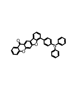 O=c1c2ccccc2oc2cc3oc4c(-c5ccc(N(c6ccccc6)c6ccccc6)cc5)cccc4c3cc12